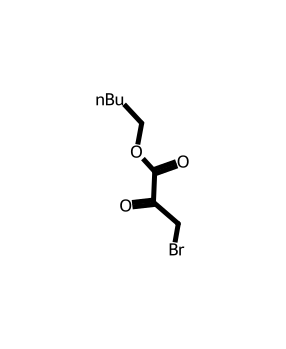 CCCCCOC(=O)C(=O)CBr